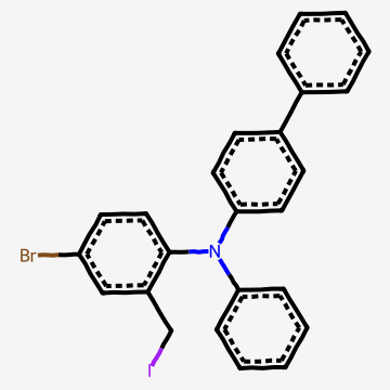 Brc1ccc(N(c2ccccc2)c2ccc(-c3ccccc3)cc2)c(CI)c1